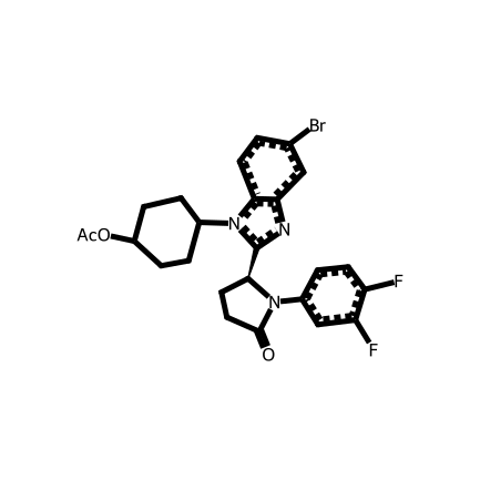 CC(=O)OC1CCC(n2c([C@@H]3CCC(=O)N3c3ccc(F)c(F)c3)nc3cc(Br)ccc32)CC1